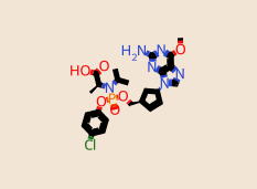 COc1nc(N)nc2c1ncn2[C@H]1C=C[C@@H](COP(=O)(Oc2ccc(Cl)cc2)N(C(C)C)[C@@H](C)C(=O)O)C1